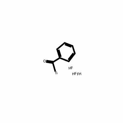 F.F.F.O=[C]([Ti])c1ccccc1